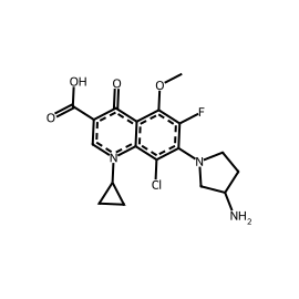 COc1c(F)c(N2CCC(N)C2)c(Cl)c2c1c(=O)c(C(=O)O)cn2C1CC1